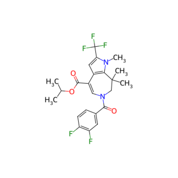 CC(C)OC(=O)C1=CN(C(=O)c2ccc(F)c(F)c2)CC(C)(C)c2c1cc(C(F)(F)F)n2C